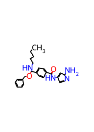 CCCCCNC(OCc1ccccc1)c1ccc(C(=O)Nc2ccnc(N)c2)cc1